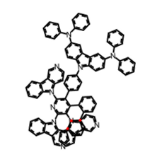 c1ccc(-c2ccccc2-c2c(-c3ccc(-n4c5ccc(N(c6ccccc6)c6ccccc6)cc5c5cc(N(c6ccccc6)c6ccccc6)ccc54)cc3)c(-n3c4ccccc4c4cnccc43)nc(-n3c4ccccc4c4cnccc43)c2-n2c3ccccc3c3cnccc32)cc1